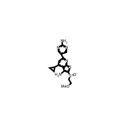 COCC[S+]([O-])c1sc2nc(-c3cnc(N)nc3)cc(C3CC3)c2c1N